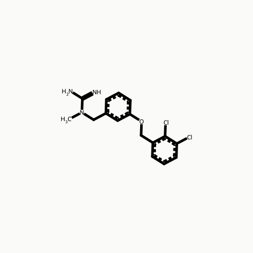 CN(Cc1cccc(OCc2cccc(Cl)c2Cl)c1)C(=N)N